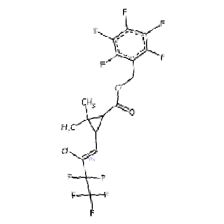 CC1(C)C(/C=C(\Cl)C(F)(F)C(F)(F)F)C1C(=O)OCc1c(F)c(F)c(F)c(F)c1F